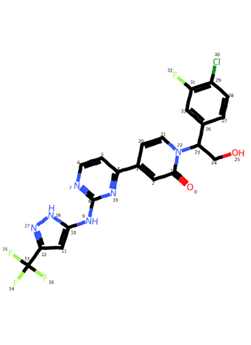 O=c1cc(-c2ccnc(Nc3cc(C(F)(F)F)n[nH]3)n2)ccn1C(CO)c1ccc(Cl)c(F)c1